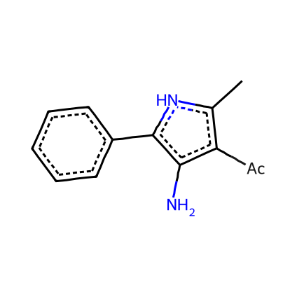 CC(=O)c1c(C)[nH]c(-c2ccccc2)c1N